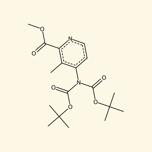 COC(=O)c1nccc(N(C(=O)OC(C)(C)C)C(=O)OC(C)(C)C)c1C